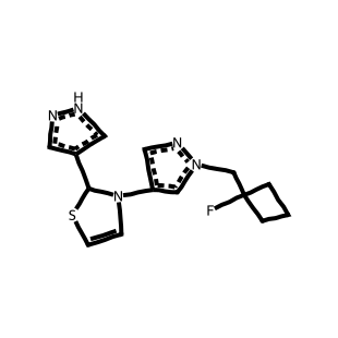 FC1(Cn2cc(N3C=CSC3c3cn[nH]c3)cn2)CCC1